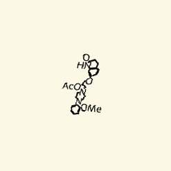 COc1ccccc1N1CCN(CC(COc2ccc3c(c2)NC(=O)CC3)OC(C)=O)CC1